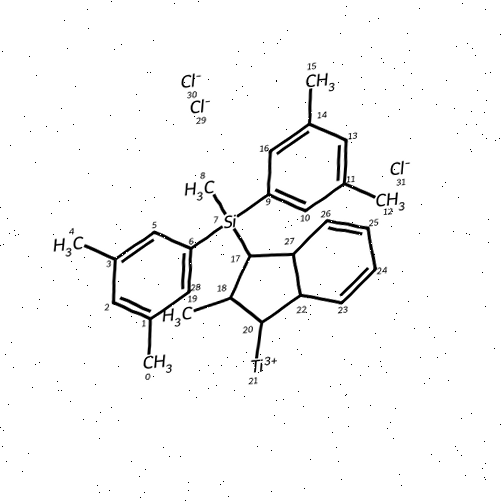 Cc1cc(C)cc([Si](C)(c2cc(C)cc(C)c2)C2C(C)[CH]([Ti+3])C3C=CC=CC32)c1.[Cl-].[Cl-].[Cl-]